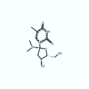 Cc1cn([C@@]2([SiH](C)C)C[C@H](O)[C@@H](CO)O2)c(=O)[nH]c1=O